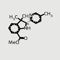 COC(=O)c1cccc2c1N[C@@H](c1ccc(C)cn1)C2(C)C